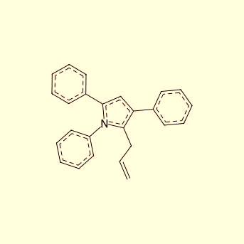 C=CCc1c(-c2ccccc2)cc(-c2ccccc2)n1-c1ccccc1